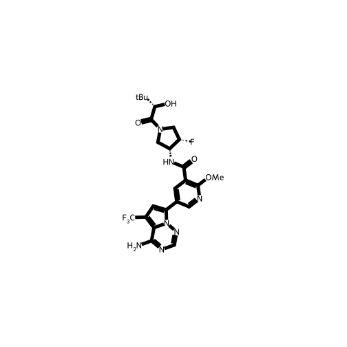 COc1ncc(-c2cc(C(F)(F)F)c3c(N)ncnn23)cc1C(=O)N[C@@H]1CN(C(=O)[C@@H](O)C(C)(C)C)C[C@@H]1F